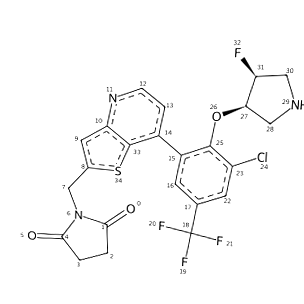 O=C1CCC(=O)N1Cc1cc2nccc(-c3cc(C(F)(F)F)cc(Cl)c3O[C@@H]3CNC[C@@H]3F)c2s1